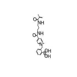 C=C(C)C(=O)NCCCNC(=O)c1cc[n+](Cc2ccccc2B(O)O)cc1